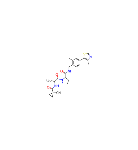 Cc1cc(-c2scnc2C)ccc1CNC(=O)C1CCCN1C(=O)C(NC(=O)C1(C#N)CC1)C(C)(C)C